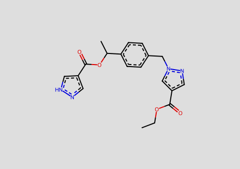 CCOC(=O)c1cnn(Cc2ccc(C(C)OC(=O)c3cn[nH]c3)cc2)c1